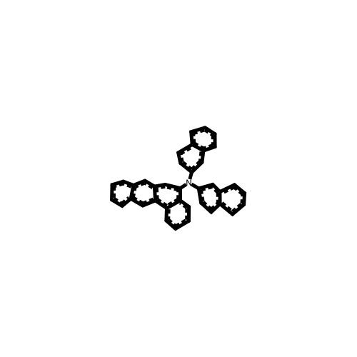 c1ccc2cc(N(c3ccc4ccccc4c3)c3cc4cc5ccccc5cc4c4ccccc34)ccc2c1